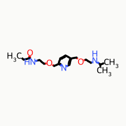 CCC(=O)NCCOCc1ccc(COCCNC(C)C)cn1